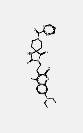 CCN(CC)c1ccc2c(C)c(CCN3C(=O)NC4(CCN(C(=O)c5ncccn5)CC4)C3=O)c(=O)oc2c1